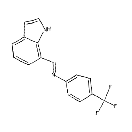 FC(F)(F)c1ccc(/N=C/c2cccc3cc[nH]c23)cc1